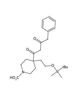 CC(C)(C)[Si](C)(C)OCCC1(C(=O)CC(=O)Cc2ccccc2)CCN(C(=O)O)CC1